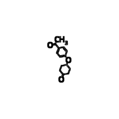 CC(=O)c1ccc(OC2CCC(=O)CC2)cc1